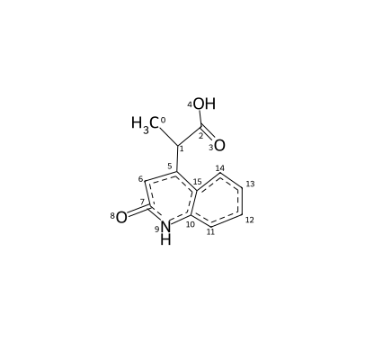 CC(C(=O)O)c1cc(=O)[nH]c2ccccc12